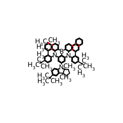 CC(C)(C)c1ccc(N2c3cc(-c4ccccc4)ccc3B3c4ccc(C(C)(C)C)cc4N(c4ccc(C(C)(C)C)cc4-c4ccccc4)c4cc(N5c6ccc(C(C)(C)C)cc6C6(C)CCCC56C)cc2c43)c(-c2ccccc2)c1